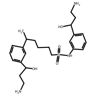 CC(CCCCS(=O)(=O)Nc1cccc(C(O)CCN)c1)c1cccc(C(O)CCN)c1